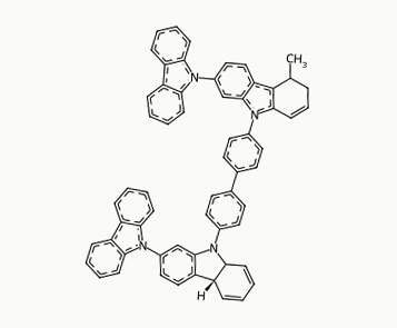 CC1CC=Cc2c1c1ccc(-n3c4ccccc4c4ccccc43)cc1n2-c1ccc(-c2ccc(N3c4cc(-n5c6ccccc6c6ccccc65)ccc4[C@H]4C=CC=CC43)cc2)cc1